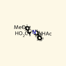 COc1cccc([C@]2(C(=O)O)C[C@H]2CN2CCC(NC(C)=O)(c3ccccc3)CC2)c1